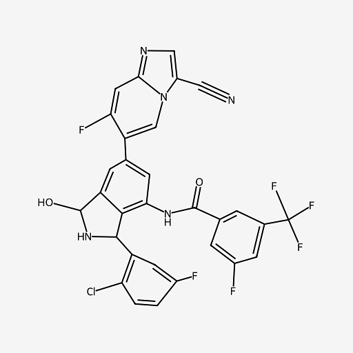 N#Cc1cnc2cc(F)c(-c3cc(NC(=O)c4cc(F)cc(C(F)(F)F)c4)c4c(c3)C(O)NC4c3cc(F)ccc3Cl)cn12